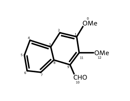 COc1cc2ccccc2c(C=O)c1OC